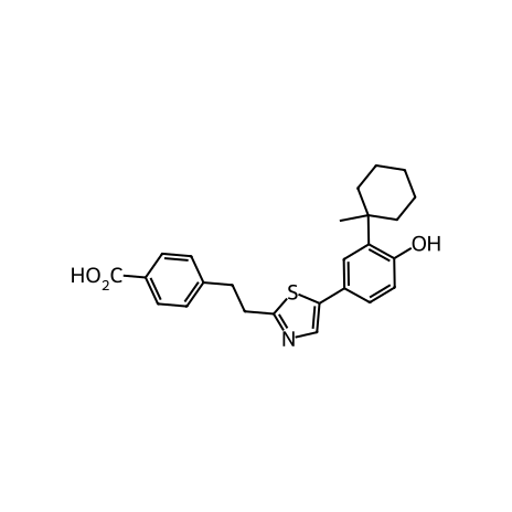 CC1(c2cc(-c3cnc(CCc4ccc(C(=O)O)cc4)s3)ccc2O)CCCCC1